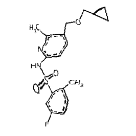 Cc1ccc(F)cc1S(=O)(=O)Nc1ccc(COCC2CC2)c(C)n1